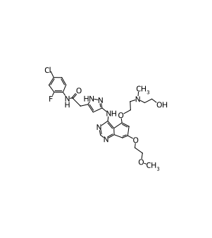 COCCOc1cc(OCCN(C)CCO)c2c(Nc3cc(CC(=O)Nc4ccc(Cl)cc4F)[nH]n3)ncnc2c1